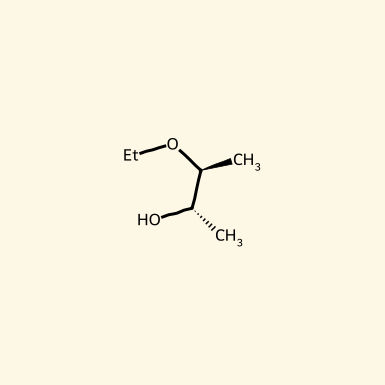 CCO[C@@H](C)[C@H](C)O